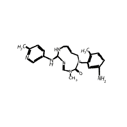 Cc1ccc(NC2/N=C/N(C)C(=O)N(c3cc(N)ccc3C)C/C=C/N2)cn1